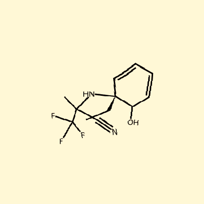 CC[C@@]1(NC(C)(C#N)C(F)(F)F)C=CC=CC1O